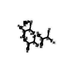 O=C([O-])C(F)F.O=C([O-])C(F)F.O=C([O-])C(F)F.[Rh+3]